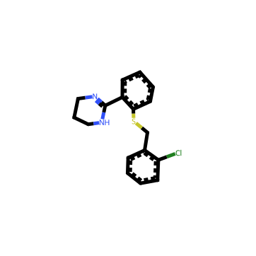 Clc1ccccc1CSc1ccccc1C1=NCCCN1